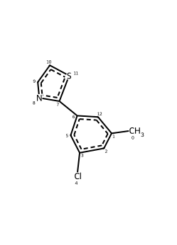 Cc1cc(Cl)cc(-c2nccs2)c1